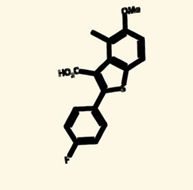 COc1ccc2sc(-c3ccc(F)cc3)c(C(=O)O)c2c1C